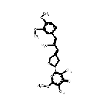 COc1ccc(/C=C(C)/C=C2\CO[C@@H](c3oc(OC)c(C)c(=O)c3C)C2)cc1OC